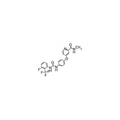 CNC(=O)c1cc(Oc2ccc(NC(=O)Nc3cccc(F)c3C(F)(F)F)cc2)ccn1